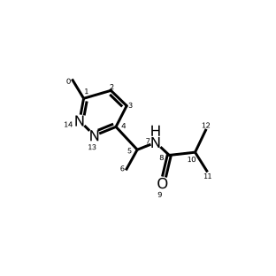 Cc1ccc(C(C)NC(=O)C(C)C)nn1